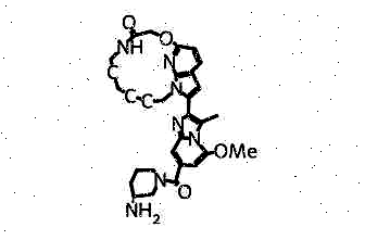 COc1cc(C(=O)N2CCC[C@@H](N)C2)cc2nc(-c3cc4ccc5nc4n3CCCCCCNC(=O)CO5)c(C)n12